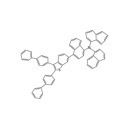 c1ccc(-c2ccc(-c3sc4cc(-c5ccc(N(c6cccc7ccccc67)c6cccc7ccccc67)c6ccccc56)ccc4c3-c3ccc(-c4ccccc4)cc3)cc2)cc1